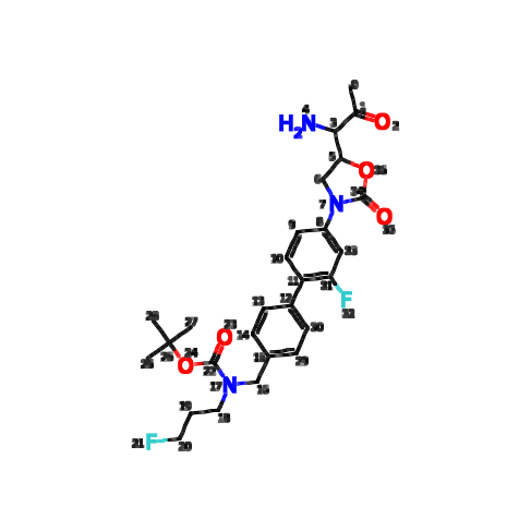 CC(=O)C(N)C1CN(c2ccc(-c3ccc(CN(CCCF)C(=O)OC(C)(C)C)cc3)c(F)c2)C(=O)O1